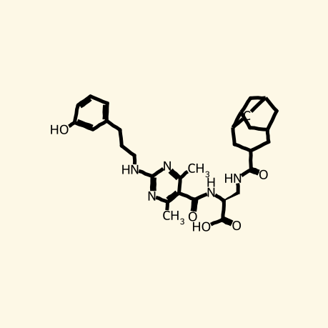 Cc1nc(NCCCc2cccc(O)c2)nc(C)c1C(=O)N[C@@H](CNC(=O)C1CC2CC3CC(C2)C(C3)C1)C(=O)O